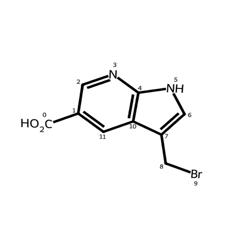 O=C(O)c1cnc2[nH]cc(CBr)c2c1